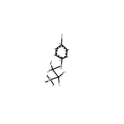 C[Si](C)(C)C(F)(F)C(F)(F)Sc1ccc(I)cc1